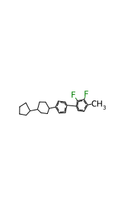 Cc1ccc(-c2ccc(C3CCC(C4CCCC4)CC3)cc2)c(F)c1F